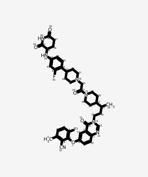 Cc1ccc(F)c(Oc2ccc3ncn(CCC(C)C4CCN(C(=O)CN5CCC(c6ccc(NC7CCC(=O)NC7=O)cc6F)CC5)CC4)c(=O)c3c2)c1C#N